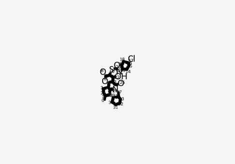 Cc1ccc2c3oc(=O)c(Sc4nc5ccc(Cl)cc5o4)c(O)c3c(=O)n(Cc3ccccc3)c2c1